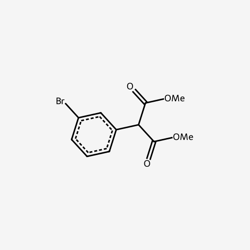 COC(=O)C(C(=O)OC)c1cccc(Br)c1